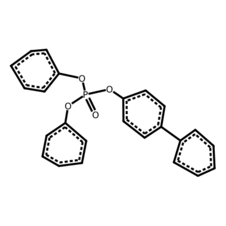 O=P(Oc1ccccc1)(Oc1ccccc1)Oc1ccc(-c2ccccc2)cc1